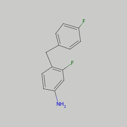 Nc1ccc(Cc2ccc(F)cc2)c(F)c1